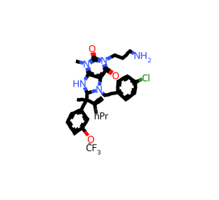 C=C(CCC)C(C)(c1cccc(OC(F)(F)F)c1)C1Nc2c(c(=O)n(CCCN)c(=O)n2C)N1Cc1ccc(Cl)cc1